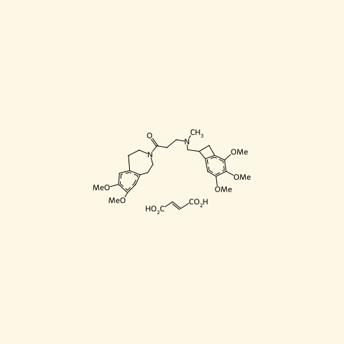 COc1cc2c(cc1OC)CCN(C(=O)CCN(C)CC1Cc3c1cc(OC)c(OC)c3OC)CC2.O=C(O)C=CC(=O)O